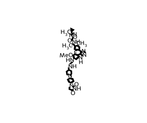 COc1cc2c(cc1NCCNCC1CCN(c3ccc(N4CCC(=O)NC4=O)cc3)CC1)[nH]c1ncnc(-c3cc(C)c([C@@H](C)NC(=O)c4nc(C5(C)CC5)no4)cc3F)c12